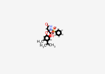 Cc1cc(OC(CC=O)(NS(=O)(=O)c2ccccc2)C(=O)O)ccc1C(C)C